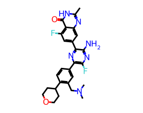 Cc1nc2cc(-c3nc(-c4ccc(C5CCOCC5)c(CN(C)C)c4)c(F)nc3N)cc(F)c2c(=O)[nH]1